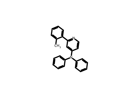 Cc1ccccc1-c1cc(N(c2ccccc2)c2ccccc2)ccn1